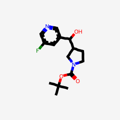 CC(C)(C)OC(=O)N1CCC(C(O)c2cncc(F)c2)C1